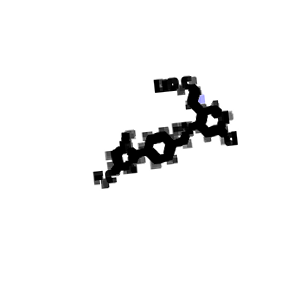 CCOC(=O)/C=C/c1cnc(Cl)cc1NCc1ccc(-c2nc(C(F)(F)F)cn2C)cc1